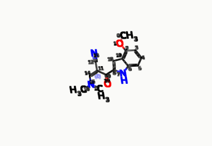 COc1cccc2[nH]c(C(=O)/C(C#N)=C\N(C)C)cc12